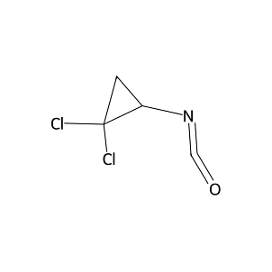 O=C=NC1CC1(Cl)Cl